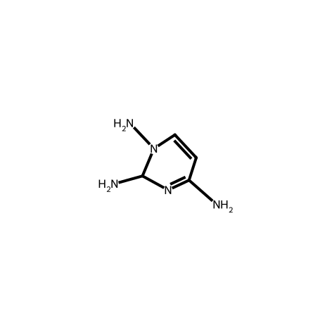 NC1=NC(N)N(N)C=C1